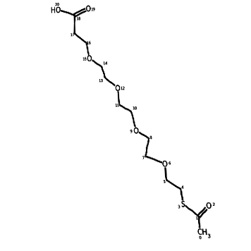 CC(=O)SCCOCCOCCOCCOCCC(=O)O